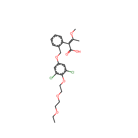 CCOCCOCCOc1c(Cl)cc(OCc2ccccc2C(C(=O)O)=C(C)OC)cc1Cl